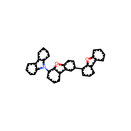 c1ccc2c(c1)oc1c(-c3ccc4oc5c(-n6c7ccccc7c7ccccc76)cccc5c4c3)cccc12